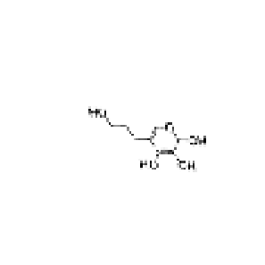 OCCCC1=COC(O)C(O)=C1O